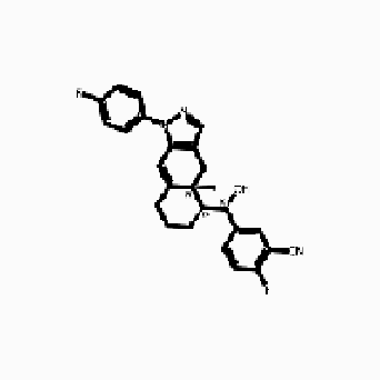 C[C@]12Cc3cnn(-c4ccc(F)cc4)c3C=C1CCC[C@@H]2[C@@H](O)c1ccc(F)c(C#N)c1